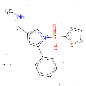 CNCc1cc(-c2ccccc2)n(S(=O)(=O)c2cccs2)c1